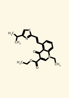 CCOC(=O)c1cn(CC)c2cccc(C=Cc3nc(C(C)C)cs3)c2c1=O